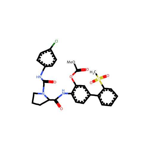 COC(=O)Oc1cc(-c2ccccc2S(C)(=O)=O)ccc1NC(=O)C1CCCN1C(=O)Nc1ccc(Cl)cc1